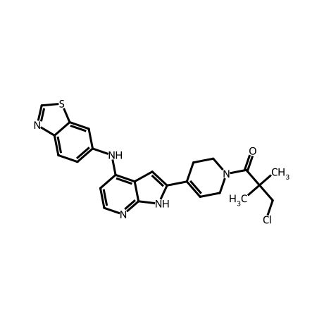 CC(C)(CCl)C(=O)N1CC=C(c2cc3c(Nc4ccc5ncsc5c4)ccnc3[nH]2)CC1